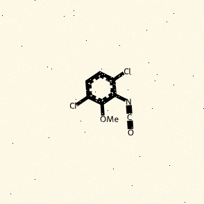 COc1c(Cl)ccc(Cl)c1N=C=O